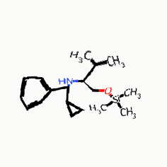 CC(C)[C@@H](CO[Si](C)(C)C)N[C@H](c1ccccc1)C1CC1